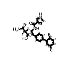 C[C@](C[C@@H](Cc1ccc(-c2cc(Cl)ccc2F)cc1)NC(=O)c1c[nH]nn1)(C(N)=O)C(=O)O